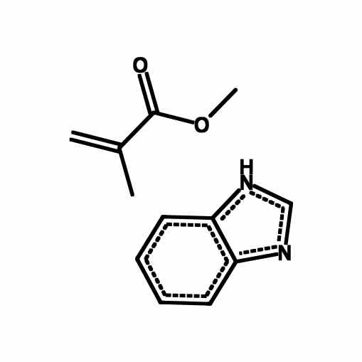 C=C(C)C(=O)OC.c1ccc2[nH]cnc2c1